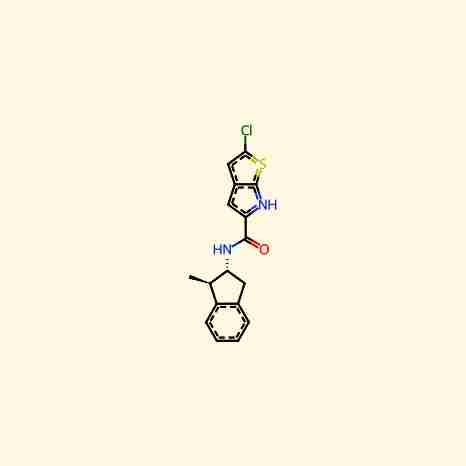 C[C@@H]1c2ccccc2C[C@H]1NC(=O)c1cc2cc(Cl)sc2[nH]1